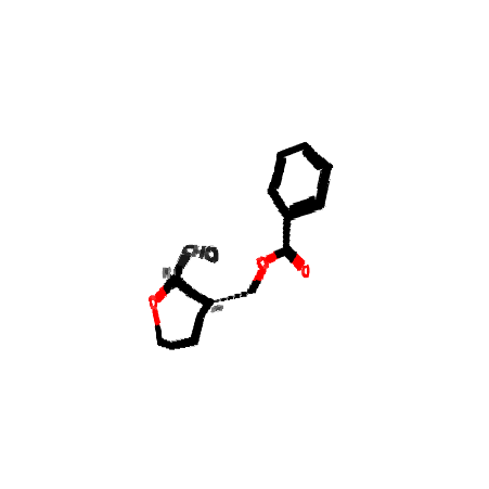 O=C[C@@H]1OCC[C@H]1COC(=O)c1ccccc1